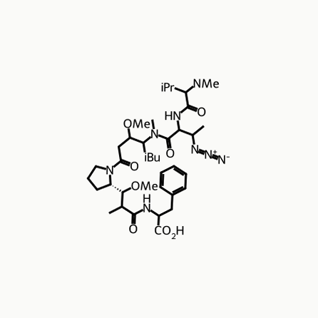 CCC(C)C(C(CC(=O)N1CCC[C@H]1C(OC)C(C)C(=O)NC(Cc1ccccc1)C(=O)O)OC)N(C)C(=O)C(NC(=O)C(NC)C(C)C)C(C)N=[N+]=[N-]